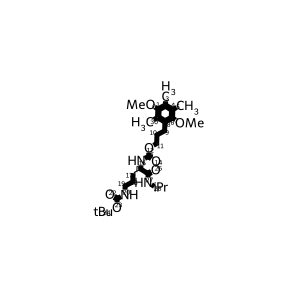 COc1c(C)c(C)c(OC)c(CCCOC(=O)N[C@@H](CCCNC(=O)OC(C)(C)C)C(=O)NC(C)C)c1C